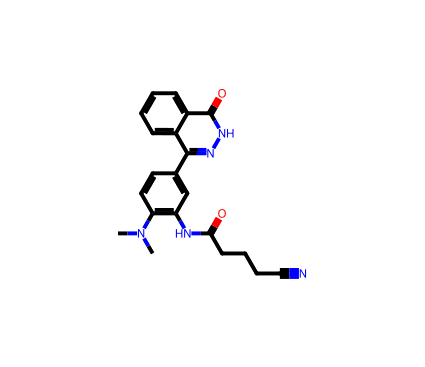 CN(C)c1ccc(-c2n[nH]c(=O)c3ccccc23)cc1NC(=O)CCCC#N